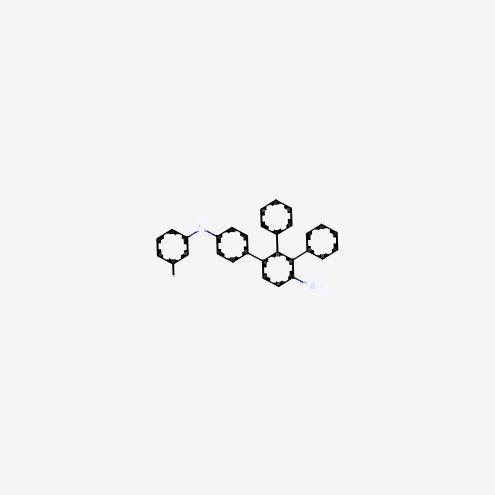 Cc1cccc(Nc2ccc(-c3ccc(N)c(-c4ccccc4)c3-c3ccccc3)cc2)c1